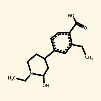 CCc1cc(C2CCN(CC)C(O)C2)ccc1C(=O)O